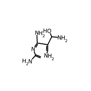 C=C(N)/N=C(N)\C(=C/N)C(N)O